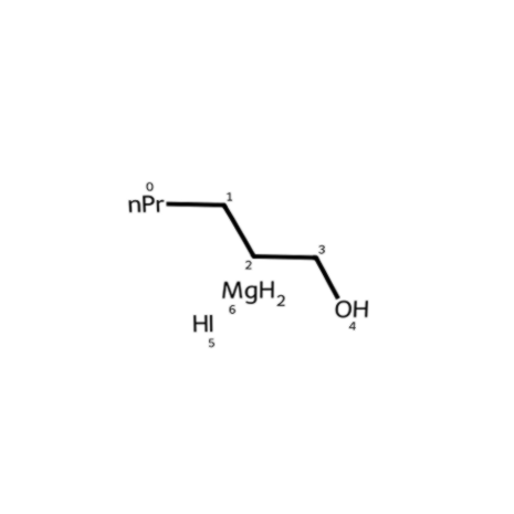 CCCCCCO.I.[MgH2]